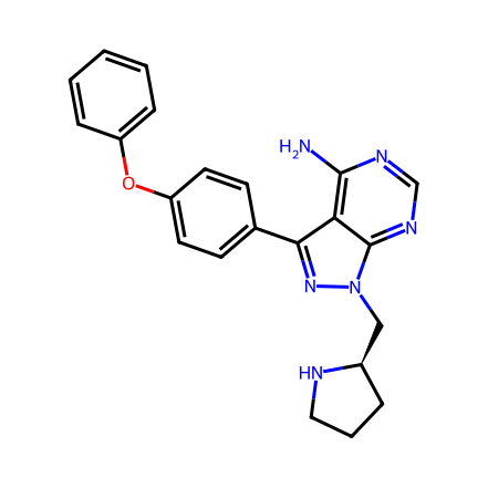 Nc1ncnc2c1c(-c1ccc(Oc3ccccc3)cc1)nn2C[C@H]1CCCN1